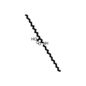 CCCCCCCCCCCCCCCCNC(=O)CC(CCCCCCCCCCCCCC)C(=O)O